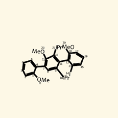 COc1ccccc1-c1cc(C(C)C)c(-c2c(I)cccc2OC)c(C(C)C)c1OC